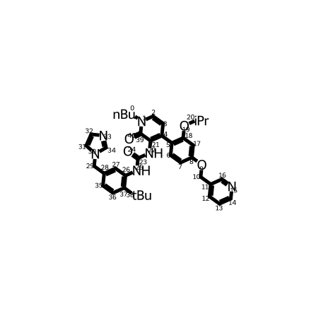 CCCCn1ccc(-c2ccc(OCc3cccnc3)cc2OC(C)C)c(NC(=O)Nc2cc(Cn3ccnc3)ccc2C(C)(C)C)c1=O